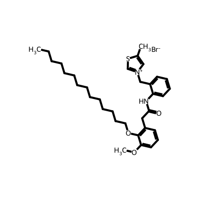 CCCCCCCCCCCCCCOc1c(CC(=O)Nc2ccccc2C[n+]2csc(C)c2)cccc1OC.[Br-]